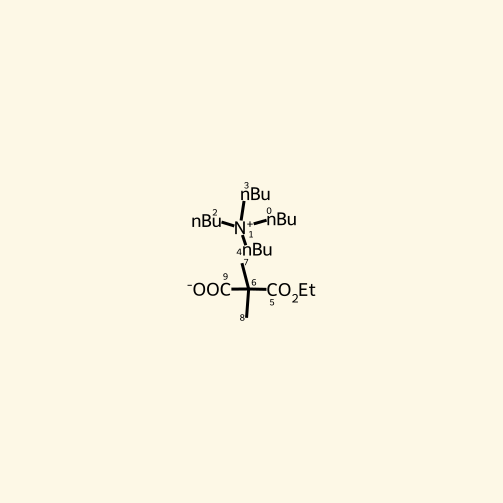 CCCC[N+](CCCC)(CCCC)CCCC.CCOC(=O)C(C)(C)C(=O)[O-]